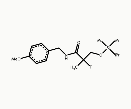 COc1ccc(CNC(=O)C(C)(F)CO[Si](C(C)C)(C(C)C)C(C)C)cc1